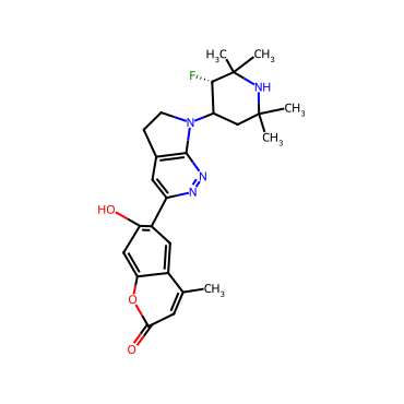 Cc1cc(=O)oc2cc(O)c(-c3cc4c(nn3)N(C3CC(C)(C)NC(C)(C)[C@H]3F)CC4)cc12